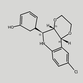 OC1=CC=CC([C@@H]2Nc3ccc(Cl)cc3[C@H]3OCCO[C@H]32)C1